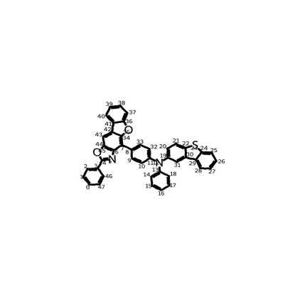 c1ccc(-c2nc3c(-c4ccc(N(c5ccccc5)c5ccc6sc7ccccc7c6c5)cc4)c4oc5ccccc5c4cc3o2)cc1